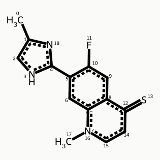 Cc1c[nH]c(-c2cc3c(cc2F)c(=S)ccn3C)n1